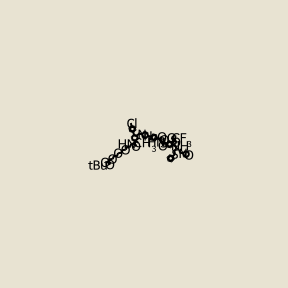 CC(C)(C)OC(=O)COCCOCCOCCNC(=O)C1(C)CCC(c2ccc(Cl)cc2)=C(CN2CCN(c3ccc(C(=O)NS(=O)(=O)c4ccc(N[C@H](CCN5CCOCC5)CSc5ccccc5)c(S(=O)(=O)C(F)(F)F)c4)cc3)CC2)C1